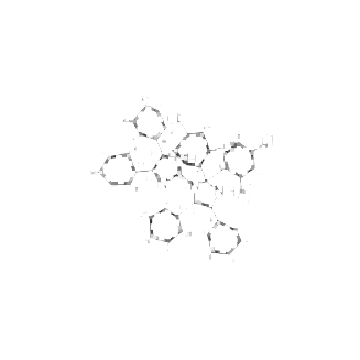 Clc1ccc(C2(c3ccc(Cl)cc3Cl)NC(c3ccccc3)=C(c3ccccc3)N2c2nc(-c3ccccc3)c(-c3ccccc3)[nH]2)c(Cl)c1